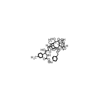 CC(=O)O[C@@]12CO[C@@H]1C[C@H](O)[C@@]1(C)C(=O)[C@H](O)C3=C(C)[C@@H](OC(=O)[C@H](O)[C@@H](NC(=O)OC(C)(C)C)c4ccc(C)cc4)C[C@@](O)([C@@H](OOCc4ccccc4)[C@H]21)C3(C)C